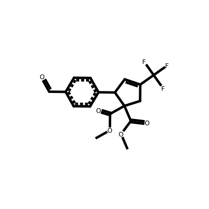 COC(=O)C1(C(=O)OC)CC(C(F)(F)F)=CC1c1ccc(C=O)cc1